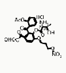 CC(=O)Oc1ccccc1C(=O)c1c(C(=O)OC=O)ccc(OCCCO[N+](=O)[O-])c1OC(=O)[C@@H](N)[C@@H](C)O.Cl